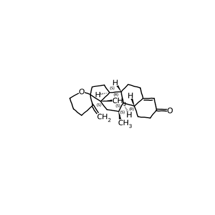 C=C1CCCOC12CC[C@H]1[C@@H]3CCC4=CC(=O)CC[C@@H]4[C@H]3[C@@H](C)C[C@@]12C